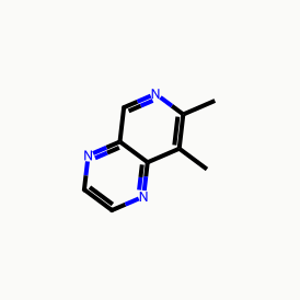 Cc1ncc2nccnc2c1C